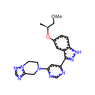 COC[C@H](C)Oc1ccc2[nH]nc(-c3cc(N4CCn5ncnc5C4)ncn3)c2c1